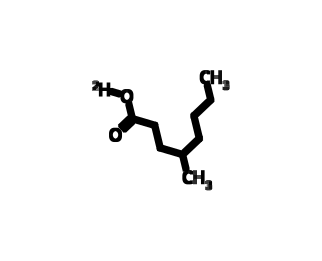 [2H]OC(=O)CCC(C)CCCC